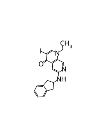 CCn1cc(I)c(=O)c2cc(NC3Cc4ccccc4C3)ncc21